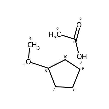 CC(=O)O.COC1CCCC1